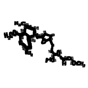 COOPOP(O)SCC1CCC(n2c[n+](C)c3c(OC)nc(N)nc32)O1